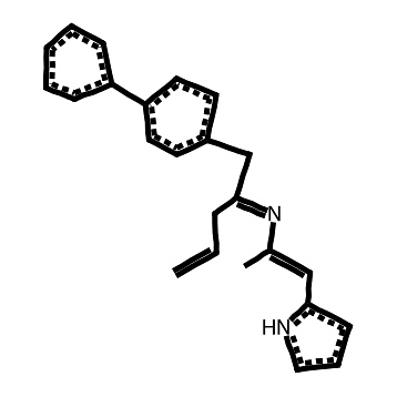 C=CC/C(Cc1ccc(-c2ccccc2)cc1)=N\C(C)=C\c1ccc[nH]1